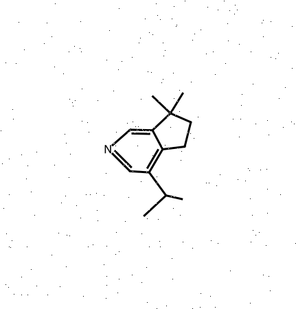 CC(C)c1cncc2c1CCC2(C)C